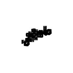 CC(C)(C)[C@H](NC(=O)c1cc2ccccc2[nH]1)C(=O)N1C[C@@H]2C[C@H]1CN2C(=O)c1cc2c(F)cccc2[nH]1